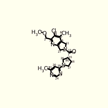 COCc1nc2c(c(C)c1Cl)CN(C(=O)[C@@H]1CCN(c3cc(C)ncn3)C1)C2